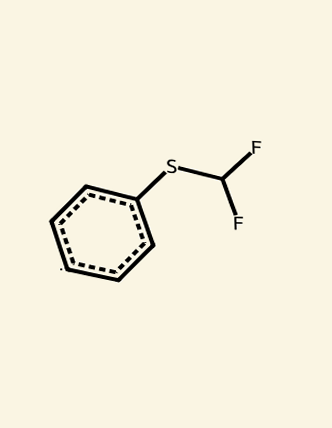 FC(F)Sc1cc[c]cc1